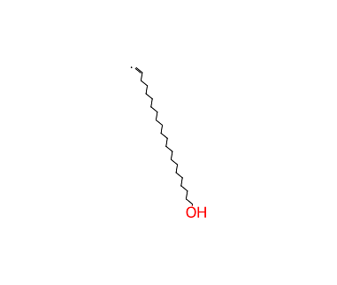 [CH]=CCCCCCCCCCCCCCCCCCCCCO